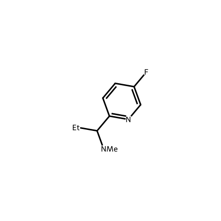 CCC(NC)c1ccc(F)cn1